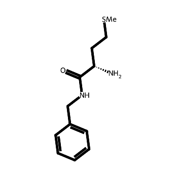 CSCC[C@H](N)C(=O)NCc1ccccc1